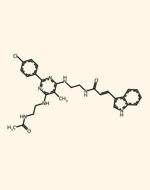 CC(=O)NCCNc1nc(-c2ccc(Cl)cc2)nc(NCCNC(=O)C=Cc2c[nH]c3ccccc23)c1C